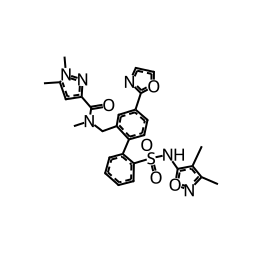 Cc1noc(NS(=O)(=O)c2ccccc2-c2ccc(-c3ncco3)cc2CN(C)C(=O)c2cc(C)n(C)n2)c1C